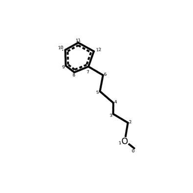 COCCCCCc1cc[c]cc1